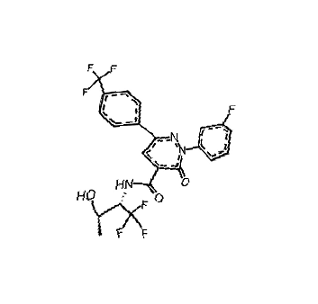 C[C@@H](O)[C@H](NC(=O)c1cc(-c2ccc(C(F)(F)F)cc2)nn(-c2cccc(F)c2)c1=O)C(F)(F)F